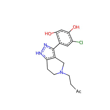 CC(=O)CCN1CCc2[nH]nc(-c3cc(Cl)c(O)cc3O)c2C1